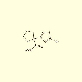 COC(=O)C1(c2csc(Br)n2)CCCC1